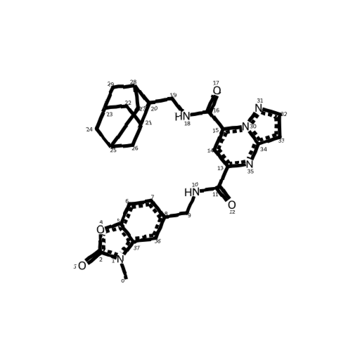 Cn1c(=O)oc2ccc(CNC(=O)c3cc(C(=O)NCC4C5CC6CC(C5)CC4C6)n4nccc4n3)cc21